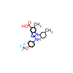 Cc1cc2c(cc1C(=O)O)nc(Nc1ccc(OC(F)(F)F)cc1)n2C1CCC[C@@H](C)C1